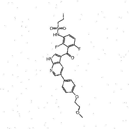 CCCS(=O)(=O)Nc1ccc(F)c(C(=O)c2c[nH]c3ncc(-c4ccc(OCCOC)cc4)cc23)c1F